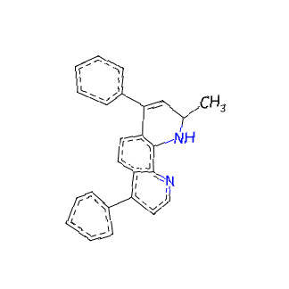 CC1C=C(c2ccccc2)c2ccc3c(-c4ccccc4)ccnc3c2N1